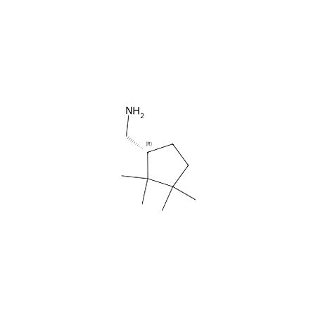 CC1(C)CC[C@@H](CN)C1(C)C